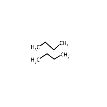 C[CH]CC.[CH2]CCC